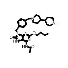 CCCCOc1nc(NC(C)=O)c2[nH]c(=O)n(Cc3ccc(CN4CCC(C5CCNCC5)CC4)cc3)c2n1